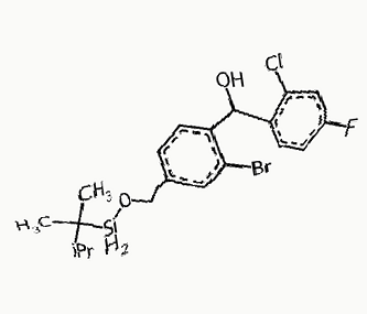 CC(C)C(C)(C)[SiH2]OCc1ccc(C(O)c2ccc(F)cc2Cl)c(Br)c1